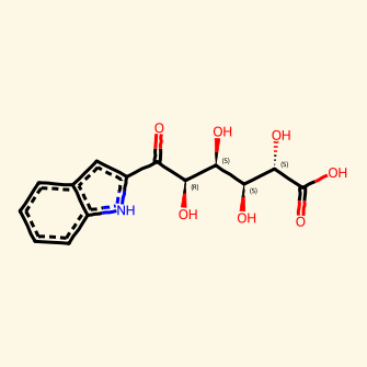 O=C(O)[C@@H](O)[C@@H](O)[C@H](O)[C@@H](O)C(=O)c1cc2ccccc2[nH]1